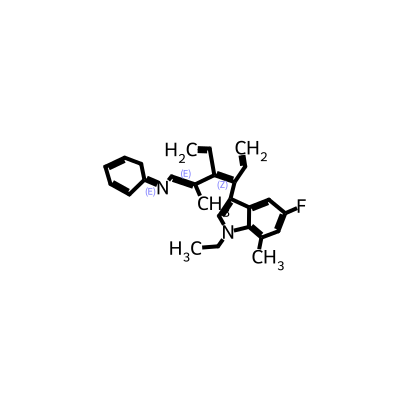 C=CC(=C(\C=C)c1cn(CC)c2c(C)cc(F)cc12)/C(C)=C/N=C1/C=CC=CC1